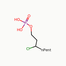 CCCCCC(Cl)CCOP(=O)(O)O